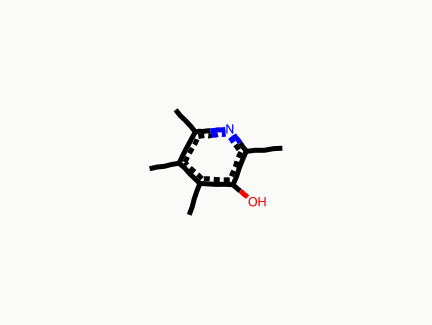 Cc1nc(C)c(O)c(C)c1C